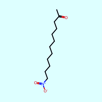 CC(=O)CCCCCCCCCC[N+](=O)[O-]